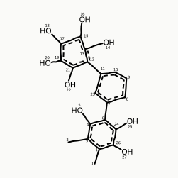 Cc1c(C)c(O)c(-c2cccc(-c3c(O)c(O)c(O)c(O)c3O)c2)c(O)c1O